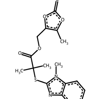 Cc1oc(=O)oc1COC(=O)C(C)(C)Sc1nc2ccccc2n1C